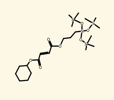 C[Si](C)(C)O[Si](CCCOC(=O)/C=C/C(=O)OC1CCCCC1)(O[Si](C)(C)C)O[Si](C)(C)C